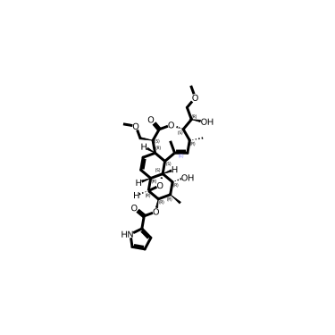 COC[C@@H](O)[C@H]1OC(=O)[C@H](COC)[C@H]2C=C[C@H]3[C@H]4O[C@]2(/C(C)=C/[C@H]1C)[C@@H]3[C@H](O)[C@@H](C)[C@H]4OC(=O)c1ccc[nH]1